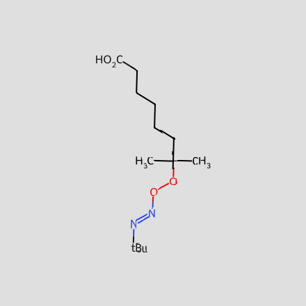 CC(C)(C)N=NOOC(C)(C)CCCCCC(=O)O